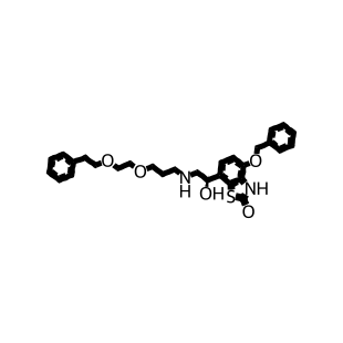 O=c1[nH]c2c(OCc3ccccc3)ccc([C@@H](O)CNCCCOCCOCCc3ccccc3)c2s1